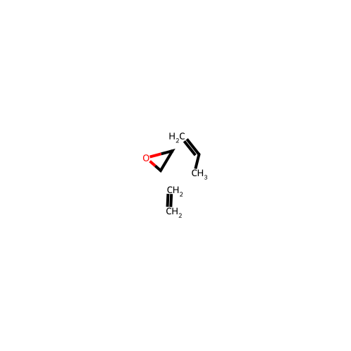 C1CO1.C=C.C=CC